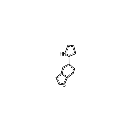 c1c[nH]c(-c2ccc3sccc3c2)c1